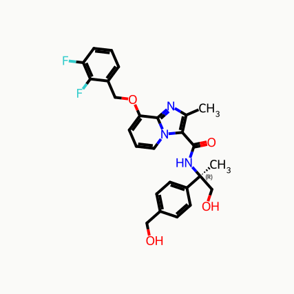 Cc1nc2c(OCc3cccc(F)c3F)cccn2c1C(=O)N[C@@](C)(CO)c1ccc(CO)cc1